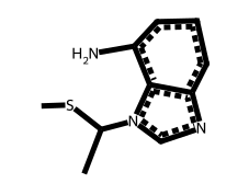 CSC(C)n1cnc2cccc(N)c21